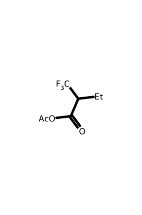 CCC(C(=O)OC(C)=O)C(F)(F)F